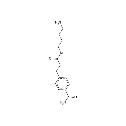 NCCCCNC(=O)CCc1ccc(C(N)=O)cc1